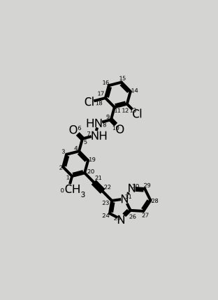 Cc1ccc(C(=O)NNC(=O)c2c(Cl)cccc2Cl)cc1C#Cc1cnc2cccnn12